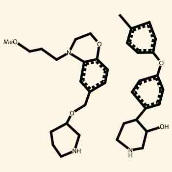 COCCCN1CCOc2ccc(COC3CCCNC3)cc21.Cc1ccc(Oc2ccc(C3CCNCC3O)cc2)cc1